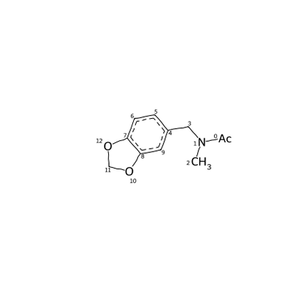 CC(=O)N(C)Cc1ccc2c(c1)OCO2